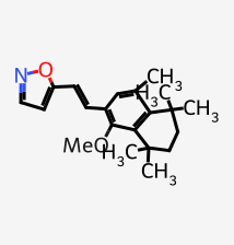 COc1c(C=Cc2ccno2)cc(C)c2c1C(C)(C)CCC2(C)C